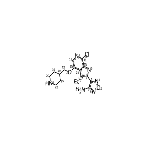 CCn1c(-c2nonc2N)nc2c(Cl)ncc(OCC3CCNCC3)c21